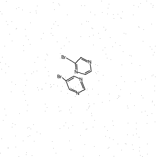 Brc1cnccn1.Brc1cncnc1